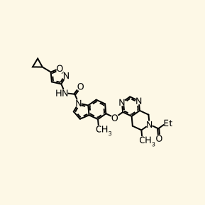 CCC(=O)N1Cc2ncnc(Oc3ccc4c(ccn4C(=O)Nc4cc(C5CC5)on4)c3C)c2CC1C